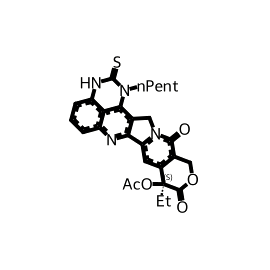 CCCCCN1C(=S)Nc2cccc3nc4c(c1c23)Cn1c-4cc2c(c1=O)COC(=O)[C@@]2(CC)OC(C)=O